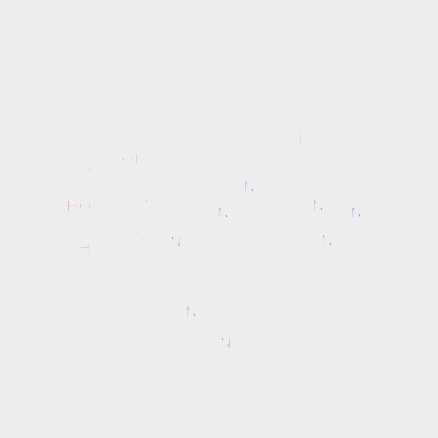 CN1CCN(CCCN(Cc2ccc(-c3ccc(Cl)cc3)cc2)C(=O)Cn2cc(Cc3cnc(N(C)C)nc3)c(=O)nc2SCc2ccc(F)cc2)CC1.O=C(O)C(O)C(O)C(=O)O